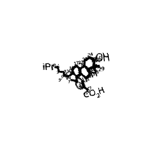 CC(C)CCC[C@@H](C)[C@H]1CC(=O)[C@@]2(CCCC(=O)O)C3=C(CC[C@]12C)[C@@]1(C)CC[C@H](O)C(C)(C)[C@@H]1CC3